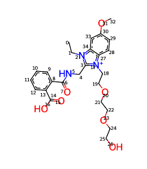 CCn1c(CNC(=O)c2ccccc2C(=O)O)[n+](CCOCCOCCO)c2ccc(OC)cc21